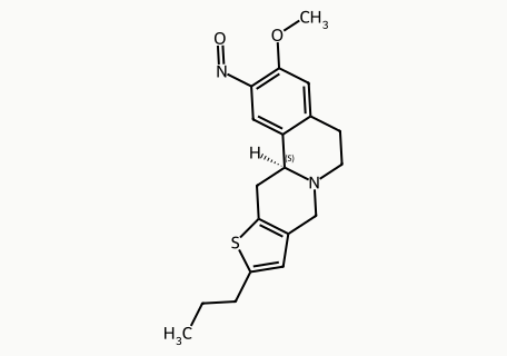 CCCc1cc2c(s1)C[C@H]1c3cc(N=O)c(OC)cc3CCN1C2